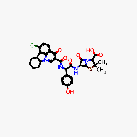 CC1(C)SC2C(NC(=O)C(NC(=O)c3cn4c5c(c(Cl)ccc5c3=O)C3CCCCC34)c3ccc(O)cc3)C(=O)N2C1C(=O)O